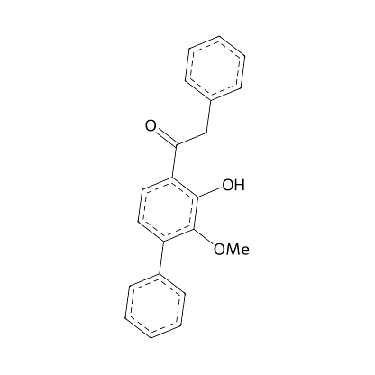 COc1c(-c2ccccc2)ccc(C(=O)Cc2ccccc2)c1O